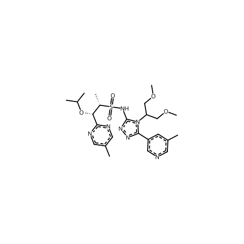 COCC(COC)n1c(NS(=O)(=O)[C@@H](C)[C@@H](OC(C)C)c2ncc(C)cn2)nnc1-c1cncc(C)c1